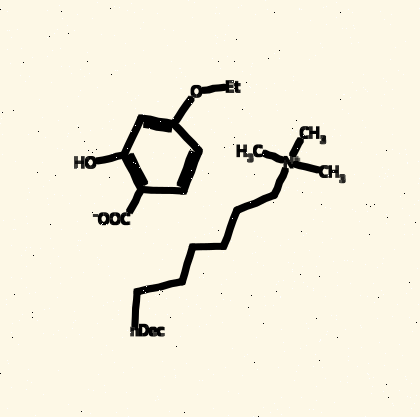 CCCCCCCCCCCCCCCC[N+](C)(C)C.CCOc1ccc(C(=O)[O-])c(O)c1